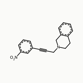 O=[N+]([O-])c1cccc(C#CCN2CCc3ccccc3C2)c1